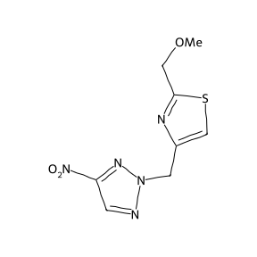 COCc1nc(Cn2ncc([N+](=O)[O-])n2)cs1